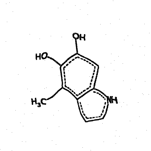 Cc1c(O)c(O)cc2[nH]ccc12